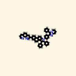 c1ccc(-c2c(-c3ccccc3)n(-c3ccc(-c4nc5ccccn5c4-c4ccccc4)cc3)c3ccc4c5ccc(-c6cnc7c(ccc8cccnc87)c6)cc5ccc4c23)cc1